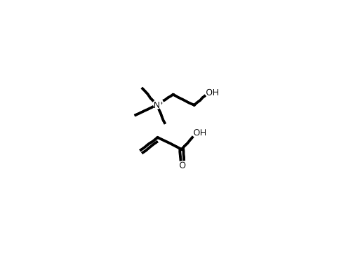 C=CC(=O)O.C[N+](C)(C)CCO